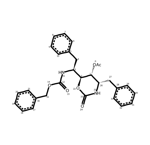 CC(=O)O[C@H]1[C@H]([C@H](Cc2ccccc2)NC(=O)OCc2ccccc2)OC(=O)N[C@H]1Cc1ccccc1